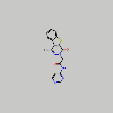 CCc1nn(CC(=O)Nc2ccncn2)c(=O)c2sc3ccccc3c12